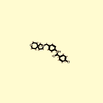 O=C(Nc1ccc(CN2CCC3(CCOCC3)C2)cc1)c1ccc(Cl)cc1